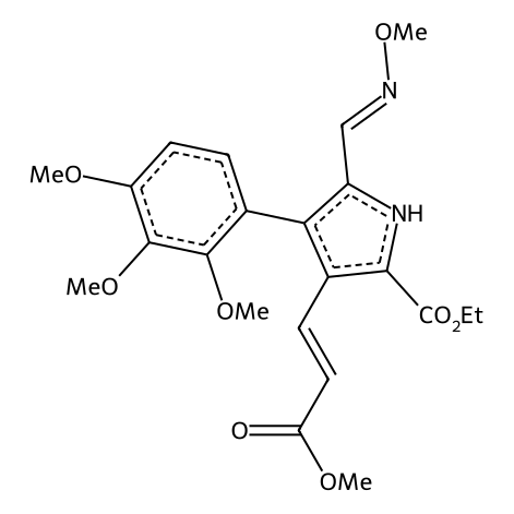 CCOC(=O)c1[nH]c(/C=N/OC)c(-c2ccc(OC)c(OC)c2OC)c1C=CC(=O)OC